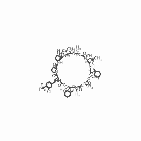 CC(C)C[C@H]1C(=O)N[C@@H](CC2CCCCC2)C(=O)N(C)CC(=O)N(C)CC(=O)N(C)[C@@H](CC2CCCCC2)C(=O)N(C)CC(=O)N[C@@H](CCc2ccc(C(F)(F)F)c(Cl)c2)C(=O)N2CCC[C@H]2C(=O)NC2(CCCC2)C(=O)N(C)[C@@H](C(C)C)C(=O)N[C@H](C)CC(=O)N1C